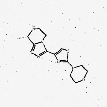 C[C@@H]1NCCn2c(-c3csc(N4CCOCC4)n3)nnc21